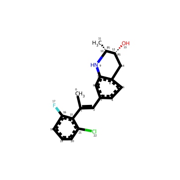 CC(=Cc1ccc2c(c1)N[C@H](C)[C@H](O)C2)c1c(F)cccc1Cl